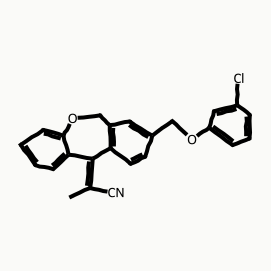 C/C(C#N)=C1/c2ccc(COc3cccc(Cl)c3)cc2COc2ccccc21